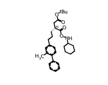 Cc1cc(CCC[C@H](CC(=O)OC(C)(C)C)C(=O)ONC2CCCCC2)ccc1-c1ccccc1